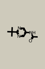 CC(=O)Nc1cnc(C(C)(C)C)nc1